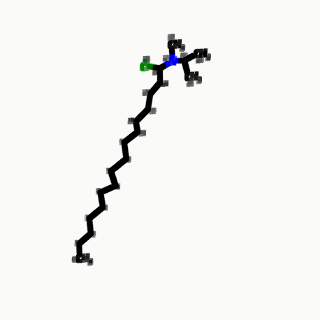 CCCCCCCCCCCCCCCC(Cl)N(C)C(C)C